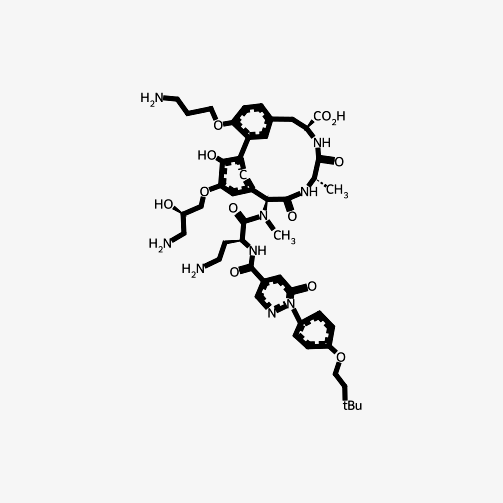 C[C@@H]1NC(=O)[C@@H](N(C)C(=O)[C@H](CCN)NC(=O)c2cnn(-c3ccc(OCCC(C)(C)C)cc3)c(=O)c2)c2cc(OC[C@H](O)CN)c(O)c(c2)-c2cc(ccc2OCCCN)C[C@@H](C(=O)O)NC1=O